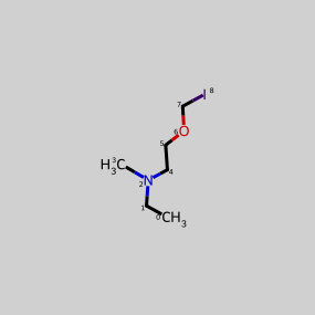 CCN(C)CCOCI